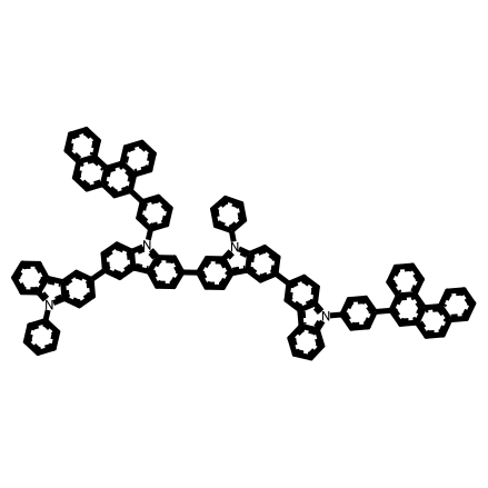 c1ccc(-n2c3ccccc3c3cc(-c4ccc5c(c4)c4ccc(-c6ccc7c8cc(-c9ccc%10c(c9)c9ccccc9n%10-c9ccc(-c%10cc%11ccc%12ccccc%12c%11c%11ccccc%10%11)cc9)ccc8n(-c8ccccc8)c7c6)cc4n5-c4cccc(-c5cc6ccc7ccccc7c6c6ccccc56)c4)ccc32)cc1